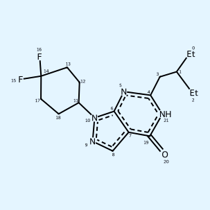 CCC(CC)Cc1nc2c(cnn2C2CCC(F)(F)CC2)c(=O)[nH]1